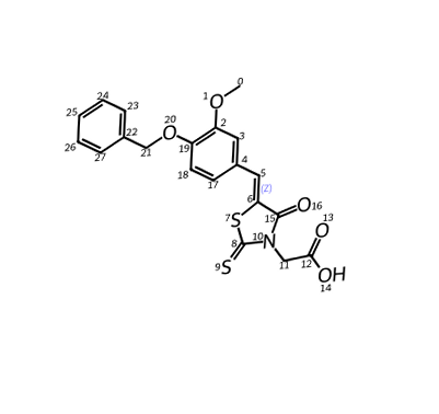 COc1cc(/C=C2\SC(=S)N(CC(=O)O)C2=O)ccc1OCc1ccccc1